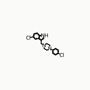 Clc1ccc(N2CCN(Cc3c[nH]c4ccc(Cl)cc34)CC2)cc1